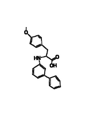 COc1ccc(CC(Nc2cccc(-c3ccccc3)c2)C(=O)O)cc1